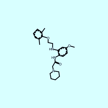 COc1ccc(NC(=O)CN2CCCCC2)c(NCCOc2c(C)cccc2C)c1